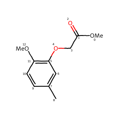 COC(=O)COc1cc(C)ccc1OC